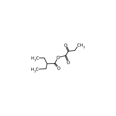 CCC(=O)C(=O)OC(=O)C(CC)CC